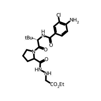 CCOC(=O)CNNC(=O)C1CCCN1C(=O)[C@@H](NC(=O)c1ccc(N)c(Cl)c1)C(C)(C)C